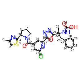 Cc1csc([C@H]2CCCN2C(=O)c2cc(Cl)nc(-c3nnc([C@@](C)(Cc4ccccc4)NC(=O)O)o3)c2)n1